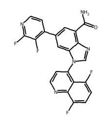 NC(=O)c1cc(-c2ccnc(F)c2F)cc2c1ncn2-c1ccnc2c(F)ccc(F)c12